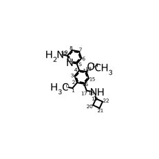 CCc1cc(-c2cccc(N)n2)c(OC)cc1CNC1CCC1